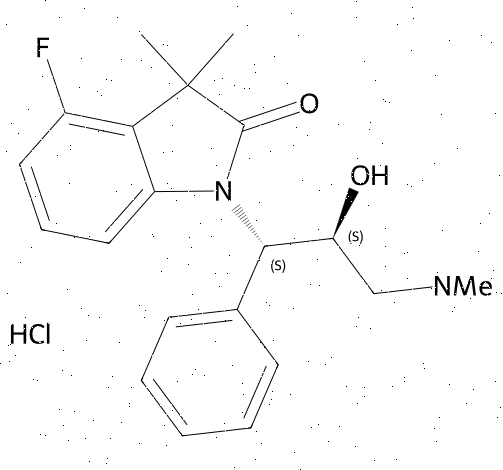 CNC[C@H](O)[C@H](c1ccccc1)N1C(=O)C(C)(C)c2c(F)cccc21.Cl